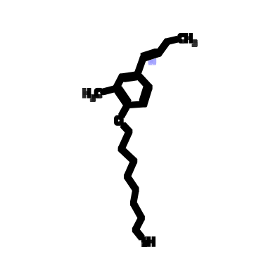 CC/C=C/c1ccc(OCCCCCCCCS)c(C)c1